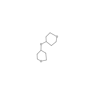 C1CC(OC2CCOCC2)CCO1